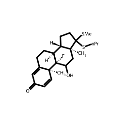 CCCSC1(SC)CC[C@H]2[C@@H]3CCC4=CC(=O)C=C[C@]4(C)[C@]3(F)C(O)C[C@@]21C